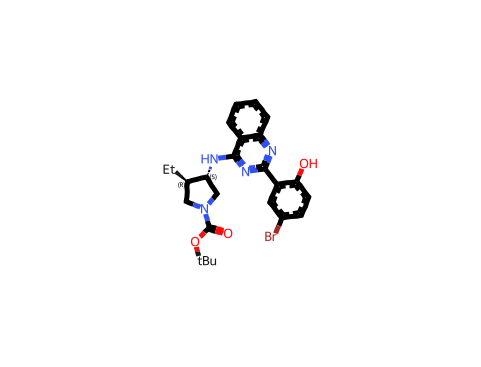 CC[C@@H]1CN(C(=O)OC(C)(C)C)C[C@H]1Nc1nc(-c2cc(Br)ccc2O)nc2ccccc12